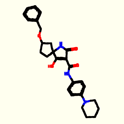 O=C(Nc1ccc(N2CCCCC2)cc1)C1=C(O)C2(CCC(OCc3ccccc3)C2)NC1=O